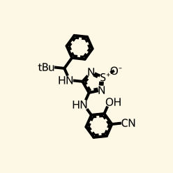 CC(C)(C)C(Nc1n[s+]([O-])nc1Nc1cccc(C#N)c1O)c1ccccc1